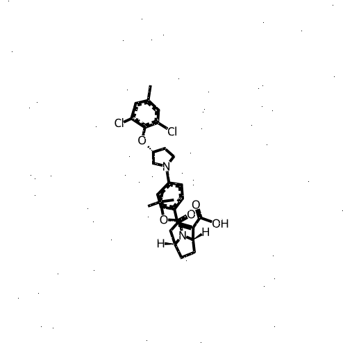 Cc1cc(Cl)c(O[C@@H]2CCN(c3ccc(C4=C(C(=O)O)[C@@H]5CC[C@H](C4)N5C(=O)OC(C)(C)C)cc3)C2)c(Cl)c1